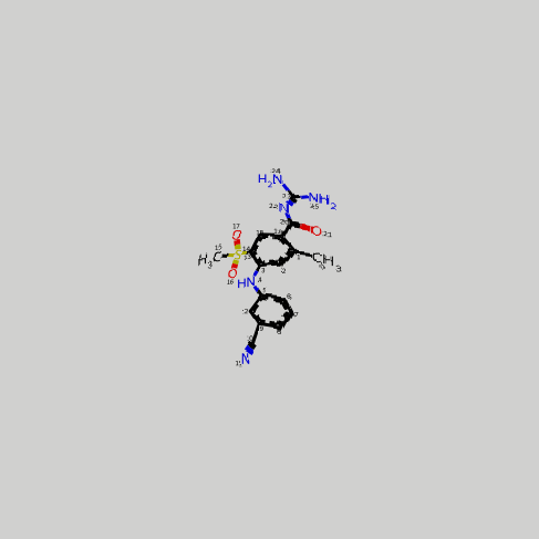 Cc1cc(Nc2cccc(C#N)c2)c(S(C)(=O)=O)cc1C(=O)N=C(N)N